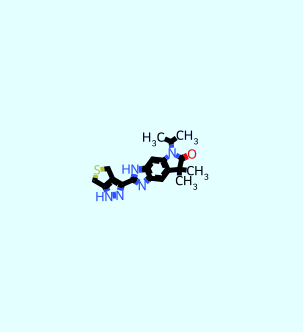 CC(C)N1C(=O)C(C)(C)c2cc3nc(-c4n[nH]c5c4CSC5)[nH]c3cc21